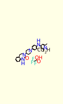 Cc1cc(Nc2ccc(N3CCC(N4CCc5ccccc5NC4=O)CC3)cc2C(=O)O)cc(C)n1.O=C(O)C(F)(F)F